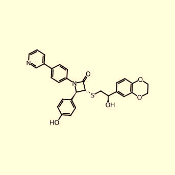 O=C1[C@H](SC[C@H](O)c2ccc3c(c2)OCCO3)[C@@H](c2ccc(O)cc2)N1c1ccc(-c2cccnc2)cc1